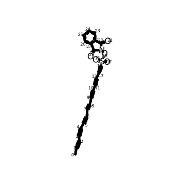 CC#CC#CC#CC#CC#CC#CC#CS(=O)(=O)ON1C(=O)c2ccccc2C1=O